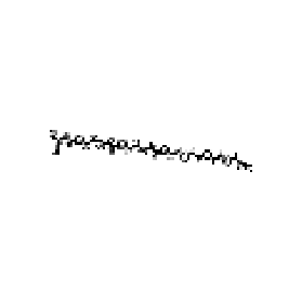 C#CCOCCOCCOCCOCCOCCOCCOCCOCCC(=C)C